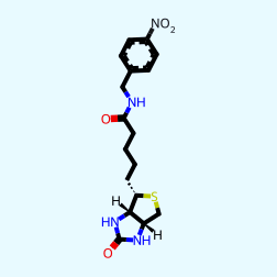 O=C(CCCC[C@@H]1SC[C@@H]2NC(=O)N[C@@H]21)NCc1ccc([N+](=O)[O-])cc1